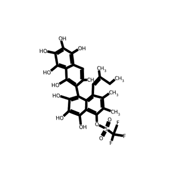 CCC(C)=Cc1c(C)c(C)c(OS(=O)(=O)C(F)(F)F)c2c(O)c(O)c(O)c(-c3c(C)cc4c(O)c(O)c(O)c(O)c4c3O)c12